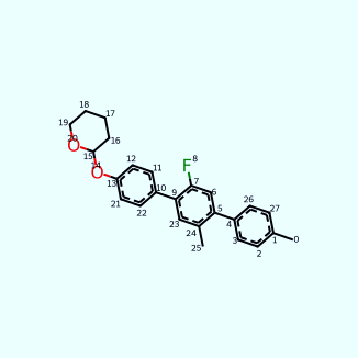 Cc1ccc(-c2cc(F)c(-c3ccc(OC4CCCCO4)cc3)cc2C)cc1